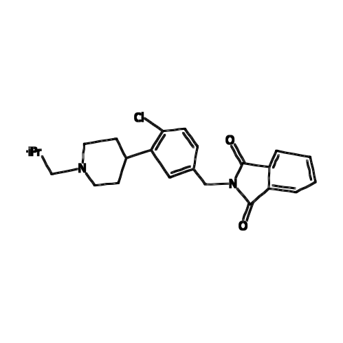 C[C](C)CN1CCC(c2cc(CN3C(=O)c4ccccc4C3=O)ccc2Cl)CC1